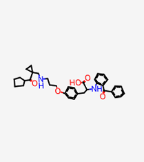 O=C(c1ccccc1)c1ccccc1NC(Cc1ccc(OCCCNCC2(C(=O)C3CCCC3)CC2)cc1)C(=O)O